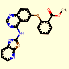 COC(=O)c1ccccc1Sc1ccc2ncnc(Nc3nc4cccnc4s3)c2c1